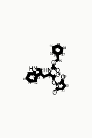 O=C(NC(Cc1c[nH]c2ccccc12)C(=O)ON1C(=O)CCC1=O)OCc1ccccc1